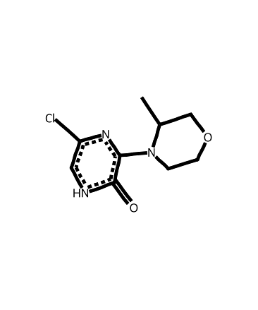 CC1COCCN1c1nc(Cl)c[nH]c1=O